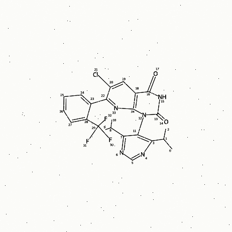 CC(C)c1ncnc(C(C)C)c1-n1c(=O)[nH]c(=O)c2cc(Cl)c(-c3ccccc3C(F)(F)F)nc21